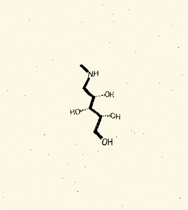 CNC[C@H](O)[C@@H](O)[C@H](O)CO